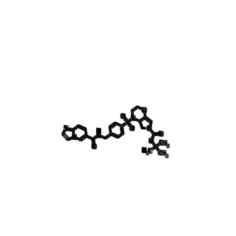 CC(C)(C)OC(=O)N1C=C2OCCN(S(=O)(=O)c3ccc(CNC(=O)c4ccc5nccn5c4)cc3)C2C1